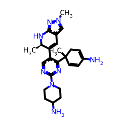 C[C@H]1Nc2nn(C)cc2C=C1c1cnc(N2CCC(N)CC2)nc1C1(C)C=CC(N)=CC1